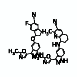 Cc1ncc(-c2n[nH]c3ccc(NC4CCCc5cc(C#N)c(C)nc54)cc23)o1.Cc1ncc(-c2n[nH]c3ccc(OC4CCc5cc(C#N)c(F)cc54)cc23)o1